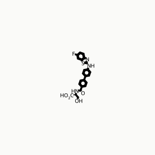 O=C(N[C@@H](CO)C(=O)O)c1ccc(-c2ccc(Nc3nc4ccc(F)cc4s3)cc2)cc1